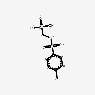 Cc1ccc(S(=O)(=O)OCP(=O)(O)O)cc1